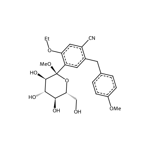 CCOc1cc(C#N)c(Cc2ccc(OC)cc2)cc1[C@]1(OC)O[C@H](CO)[C@@H](O)[C@H](O)[C@H]1O